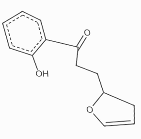 O=C(CCC1CC=CO1)c1ccccc1O